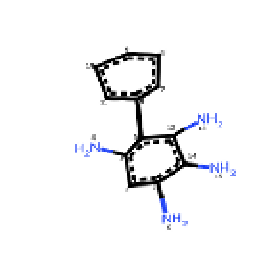 Nc1cc(N)c(-c2ccccc2)c(N)c1N